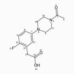 CC(=O)N1CCN(c2ccc(F)c(CC(=O)O)c2)CC1